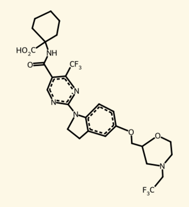 O=C(NC1(C(=O)O)CCCCC1)c1cnc(N2CCc3cc(OCC4CN(CC(F)(F)F)CCO4)ccc32)nc1C(F)(F)F